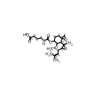 COC1C(OC(=O)NCCCC(=O)O)CCC2(CO2)C1C1(C)OC1CC=C(C)C